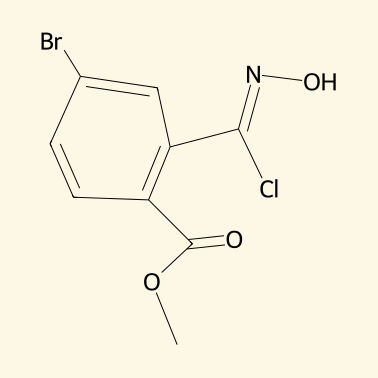 COC(=O)c1ccc(Br)cc1C(Cl)=NO